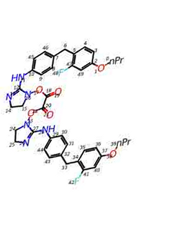 CCCOc1ccc(Cc2ccc(NC3=NCCN3OC(=O)C(=O)ON3CCN=C3Nc3ccc(Cc4ccc(OCCC)cc4F)cc3)cc2)c(F)c1